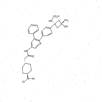 CCN(C(C)=O)[C@H]1CC[C@H](CC(=O)Nc2cnc(-c3ccc([C@]4(NC(=O)O)C[C@@](C)(O)C4)cc3)c(-c3ccccc3)c2)CC1